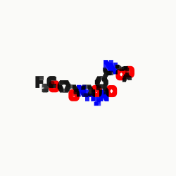 CC1(C)OC[C@H](Cn2cc(-c3ccc(OC4CCN(C(=O)Cc5ccc(OC(F)(F)F)cc5)CC4)c(C(N)=O)c3)cn2)O1